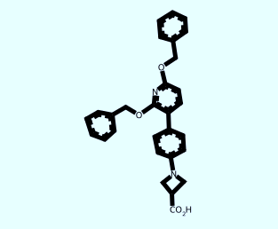 O=C(O)C1CN(c2ccc(-c3ccc(OCc4ccccc4)nc3OCc3ccccc3)cc2)C1